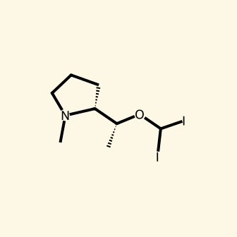 C[C@@H](OC(I)I)[C@H]1CCCN1C